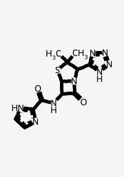 CC1(C)SC2C(NC(=O)c3ncc[nH]3)C(=O)N2C1c1nnn[nH]1